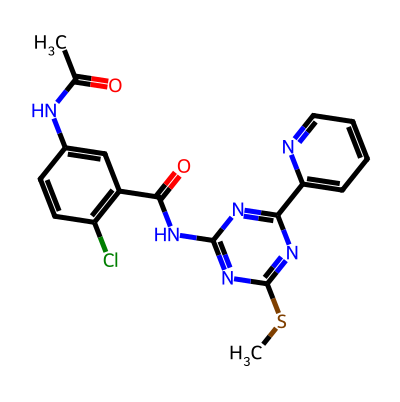 CSc1nc(NC(=O)c2cc(NC(C)=O)ccc2Cl)nc(-c2ccccn2)n1